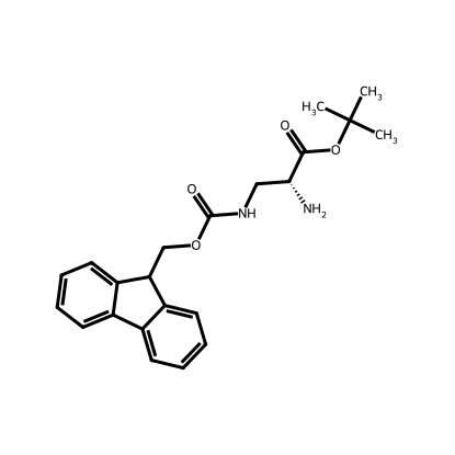 CC(C)(C)OC(=O)[C@H](N)CNC(=O)OCC1c2ccccc2-c2ccccc21